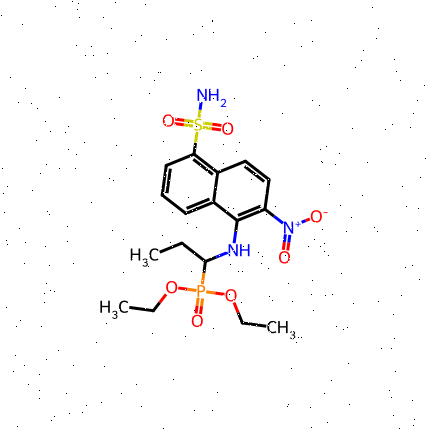 CCOP(=O)(OCC)C(CC)Nc1c([N+](=O)[O-])ccc2c(S(N)(=O)=O)cccc12